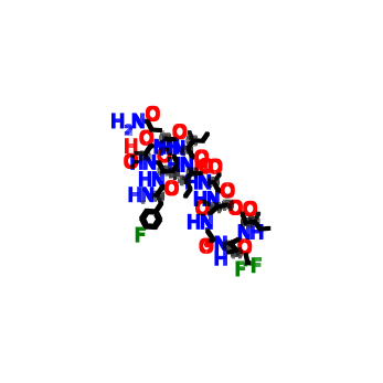 CC[C@H](C)[C@H](NC(=O)[C@@H](Cc1ccc(F)cc1)NC)C(=O)N[C@@H](CO)C(=O)N[C@H](CCC(N)=O)C(=O)N[C@@H](C(=O)N[C@H](C(=O)N[C@@H](CO)C(=O)N[C@H]1C(=O)NCC(=O)N[C@@]2(C[C@H]2CC(F)F)C(=O)N[C@@H]([C@@H](C)CC)C(=O)O[C@H]1C)[C@@H](C)CC)[C@@H](C)CC